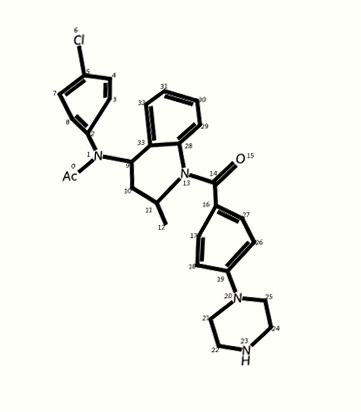 CC(=O)N(c1ccc(Cl)cc1)C1CC(C)N(C(=O)c2ccc(N3CCNCC3)cc2)c2ccccc21